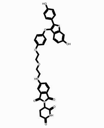 O=C1CCC(N2C(=O)c3ccc(NCCOCCOc4ccc(Oc5c(-c6ccc(O)cc6)sc6cc(O)ccc56)cc4)cc3C2=O)C(=O)N1